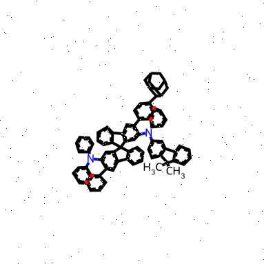 CC1(C)c2ccccc2-c2cc(N(c3ccccc3)c3cc4c(cc3-c3ccc(C5C6CC7CC(C6)CC5C7)cc3)-c3ccccc3C43c4ccccc4-c4cc(-c5ccccc5)c(N(c5ccccc5)c5ccccc5)cc43)ccc21